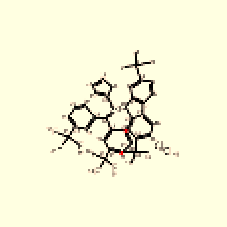 CC(C)(C)c1ccc2c(c1)[CH]([Zr+2]([C]1=CC=CC1)=[C](c1cccc(C(F)(F)F)c1)c1cccc(C(F)(F)F)c1)c1cc(C(C)(C)C)ccc1-2.[Cl-].[Cl-]